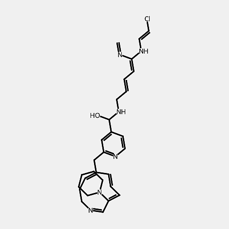 C=N/C(=C\C=C\CNC(O)c1ccnc(CC2=C\CC\N=C/C(N3CCCCC3)=C/C=C/2)c1)N/C=C/Cl